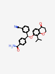 CC(C)c1c(O[C@@H](c2ccc(C(N)=O)cc2)c2cccc(C#N)c2)ccc2c1OCCC2=O